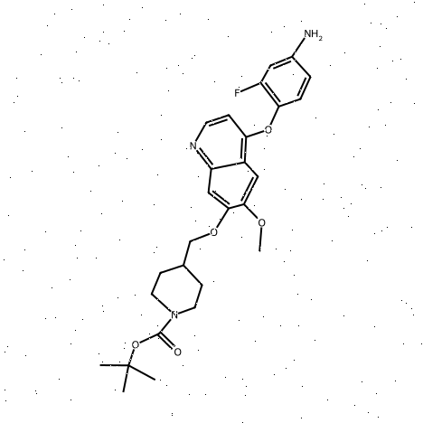 COc1cc2c(Oc3ccc(N)cc3F)ccnc2cc1OCC1CCN(C(=O)OC(C)(C)C)CC1